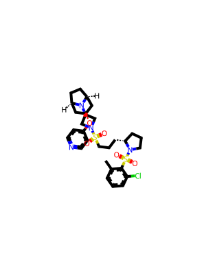 Cc1cccc(Cl)c1S(=O)(=O)N1CCC[C@H]1CCCS(=O)(=O)N1CC(N2[C@@H]3CC[C@H]2C[C@H](Oc2ccncc2)C3)C1